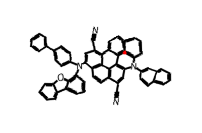 N#Cc1cc(N(c2ccccc2)c2ccc3ccccc3c2)c2c3ccccc3c3c(C#N)cc(N(c4ccc(-c5ccccc5)cc4)c4cccc5c4oc4ccccc45)c4ccc1c2c43